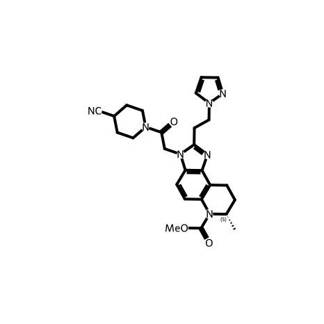 COC(=O)N1c2ccc3c(nc(CCn4cccn4)n3CC(=O)N3CCC(C#N)CC3)c2CC[C@@H]1C